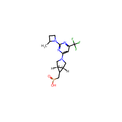 CC1CCN1c1nc(N2C[C@@H]3C(CS(=O)O)[C@@H]3C2)cc(C(F)(F)F)n1